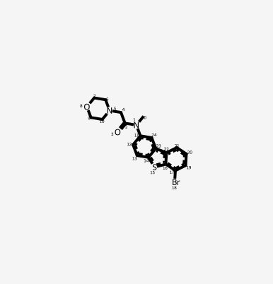 CN(C(=O)CN1CCOCC1)c1ccc2sc3c(Br)cccc3c2c1